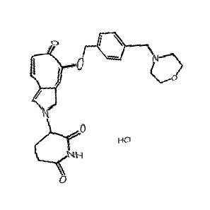 Cl.O=C1CCC(N2C=C3C=CC(=O)C(OCc4ccc(CN5CCOCC5)cc4)=C3C2)C(=O)N1